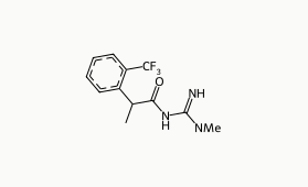 CNC(=N)NC(=O)C(C)c1ccccc1C(F)(F)F